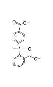 CC(C)(c1ccc(C(=O)O)cc1)c1ccccc1C(=O)O